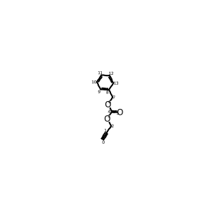 C#CCOC(=O)OCc1ccccc1